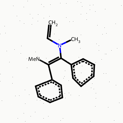 C=CN(C)/C(=C(\NC)c1ccccc1)c1ccccc1